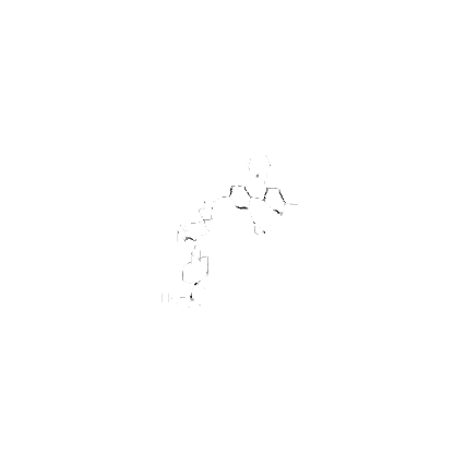 CCOc1cc(F)ccc1-c1c(OCC)cc(CN2CC3(CC(N4CCC(C)(C(=O)O)CC4)=NO3)C2)cc1C1CC1